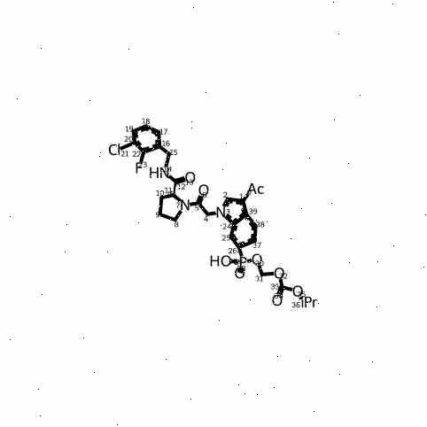 CC(=O)c1cn(CC(=O)N2CCC[C@H]2C(=O)NCc2cccc(Cl)c2F)c2cc(P(=O)(O)OCOC(=O)OC(C)C)ccc12